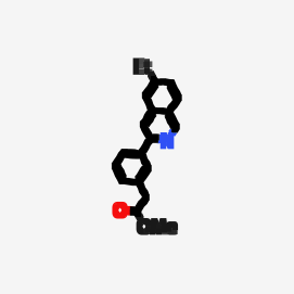 CCc1ccc2cnc(-c3cccc(CC(=O)OC)c3)cc2c1